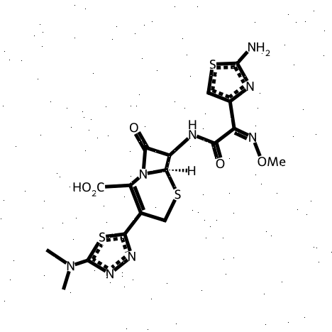 CO/N=C(\C(=O)NC1C(=O)N2C(C(=O)O)=C(c3nnc(N(C)C)s3)CS[C@H]12)c1csc(N)n1